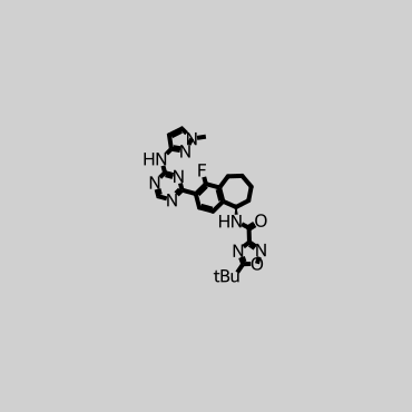 Cn1ccc(Nc2ncnc(-c3ccc4c(c3F)CCCC[C@H]4NC(=O)c3noc(C(C)(C)C)n3)n2)n1